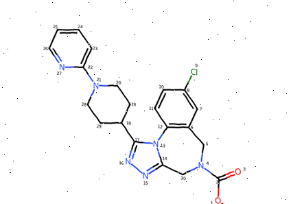 COC(=O)N1Cc2cc(Cl)ccc2-n2c(nnc2C2CCN(c3ccccn3)CC2)C1